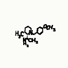 C=C(N)[C@@H]1[C@H](C)CCCN1Cc1ccc(OC)cc1